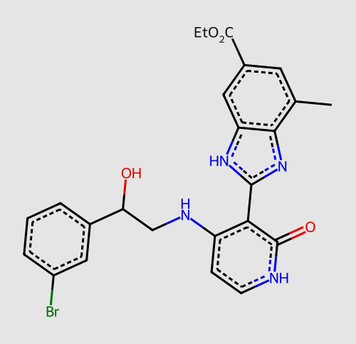 CCOC(=O)c1cc(C)c2nc(-c3c(NCC(O)c4cccc(Br)c4)cc[nH]c3=O)[nH]c2c1